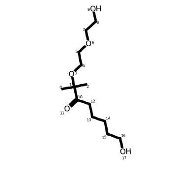 CC(C)(OCCOCCO)C(=O)CCCCCO